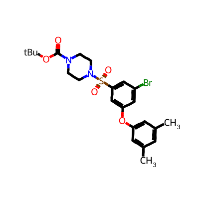 Cc1cc(C)cc(Oc2cc(Br)cc(S(=O)(=O)N3CCN(C(=O)OC(C)(C)C)CC3)c2)c1